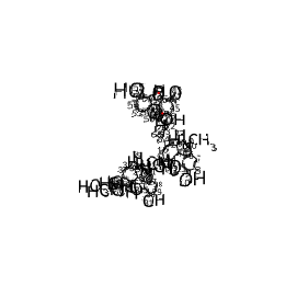 CN1CC[C@]23c4c5ccc(O)c4O[C@H]2[C@@H](O)C=C[C@H]3[C@H]1C5.CN1CC[C@]23c4c5ccc(O)c4O[C@H]2[C@@H](O)C=C[C@H]3[C@H]1C5.Cl.O=C1CC[C@@]2(O)[C@H]3Cc4ccc(O)c5c4[C@@]2(CCN3CC2CC2)[C@H]1O5.O=S(=O)(O)O